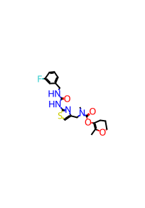 CC1=C(OC(=O)N(C)Cc2csc(NC(=O)NCc3cccc(F)c3)n2)CCCO1